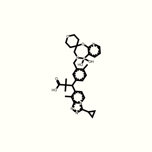 Cc1ccc(C(c2ccn3c(C4CC4)nnc3c2C)C(C)(C)C(=O)O)cc1CN1CC2(CCOCC2)Oc2ncccc2S1(O)O